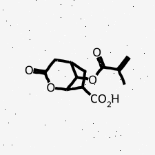 C=C(C)C(=O)OC1C2CC(=O)OC1C(C(=O)O)C2